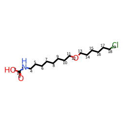 O=C(O)NCCCCCCCCOCCCCCCCl